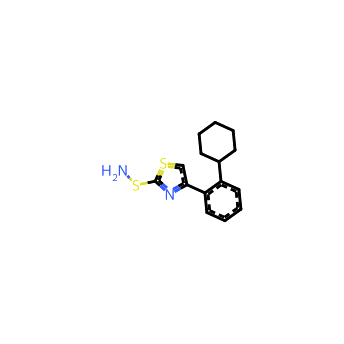 NSc1nc(-c2ccccc2C2CCCCC2)cs1